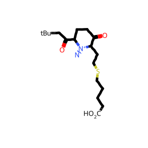 CC(C)(C)CC(=O)C1CCC(=O)C(CCSCCCCC(=O)O)[N+]1=[N-]